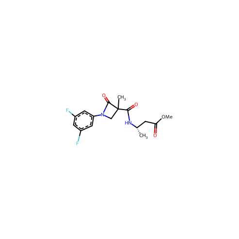 COC(=O)C[C@H](C)NC(=O)C1(C)CN(c2cc(F)cc(F)c2)C1=O